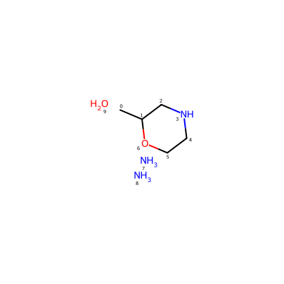 CC1CNCCO1.N.N.O